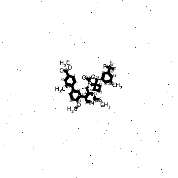 COC(=O)c1ccc(-c2ccc(OC)c(-c3cnc(SC)nc3CN3C(=O)O[C@@H](c4cc(C)cc(C(F)(F)F)c4)C34CCC4)c2)c(C)c1